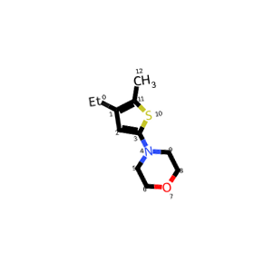 CCc1cc(N2CCOCC2)sc1C